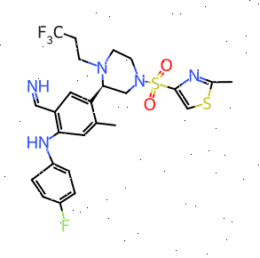 Cc1nc(S(=O)(=O)N2CCN(CCC(F)(F)F)[C@H](c3cc(C=N)c(Nc4ccc(F)cc4)cc3C)C2)cs1